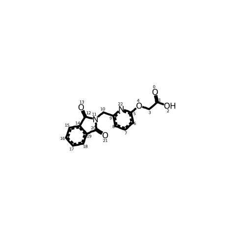 O=C(O)COc1cccc(CN2C(=O)c3ccccc3C2=O)n1